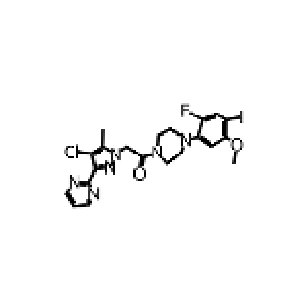 COc1cc(N2CCN(C(=O)Cn3nc(-c4ncccn4)c(Cl)c3C)CC2)c(F)cc1I